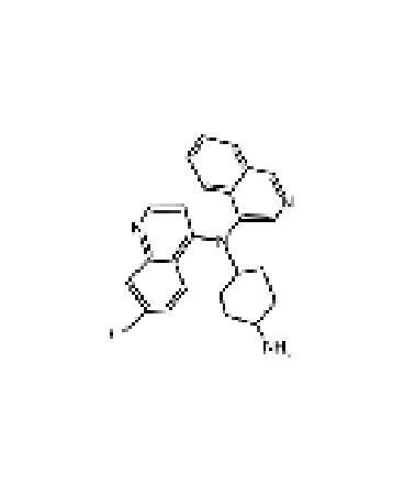 NC1CCC(N(c2cncc3ccccc23)c2ccnc3cc(Cl)ccc23)CC1